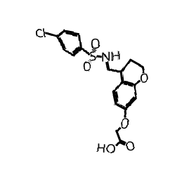 O=C(O)COc1ccc2c(c1)OCCC2CNS(=O)(=O)c1ccc(Cl)cc1